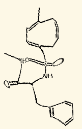 CNC(=O)[C@H](Cc1ccccc1)NS(=O)(=O)c1ccc(C)cc1